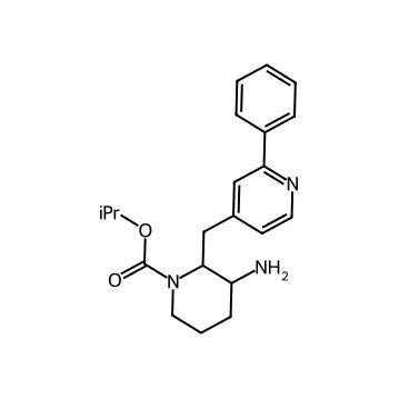 CC(C)OC(=O)N1CCCC(N)C1Cc1ccnc(-c2ccccc2)c1